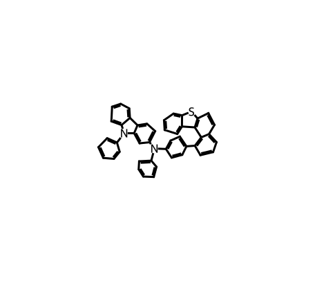 c1ccc(N(c2ccc(-c3cccc4ccc5sc6ccccc6c5c34)cc2)c2ccc3c4ccccc4n(-c4ccccc4)c3c2)cc1